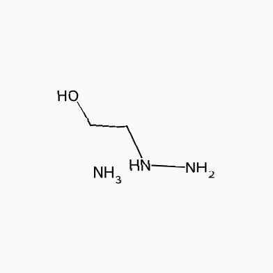 N.NNCCO